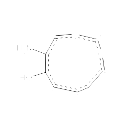 Nc1ccccccccc1O